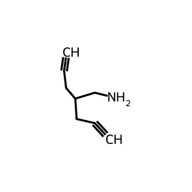 C#CCC(CN)CC#C